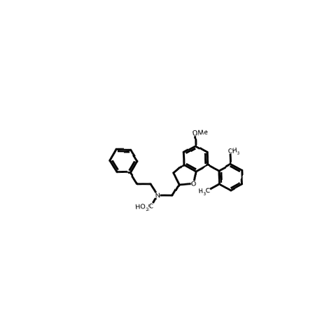 COc1cc2c(c(-c3c(C)cccc3C)c1)OC(CN(CCc1ccccc1)C(=O)O)C2